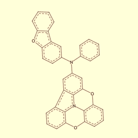 c1ccc(N(c2ccc3oc4ccccc4c3c2)c2cc3c4c(c2)c2cccc5c2n4-c2c(cccc2O3)O5)cc1